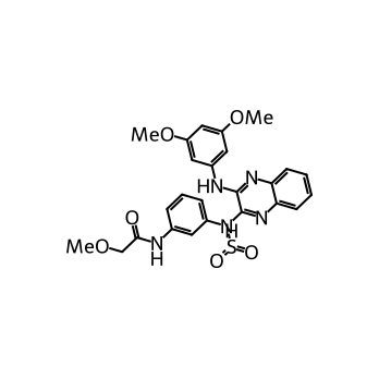 COCC(=O)Nc1cccc(N(c2nc3ccccc3nc2Nc2cc(OC)cc(OC)c2)[SH](=O)=O)c1